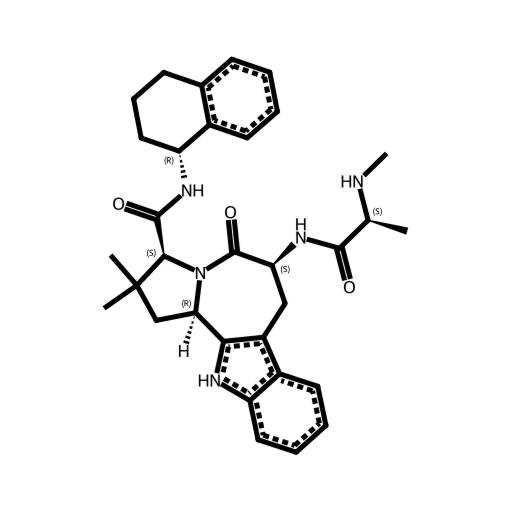 CN[C@@H](C)C(=O)N[C@H]1Cc2c([nH]c3ccccc23)[C@H]2CC(C)(C)[C@@H](C(=O)N[C@@H]3CCCc4ccccc43)N2C1=O